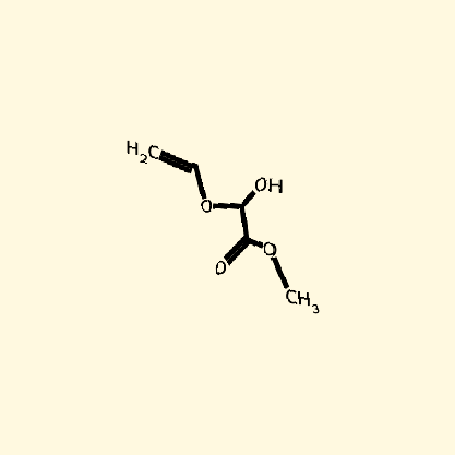 C=COC(O)C(=O)OC